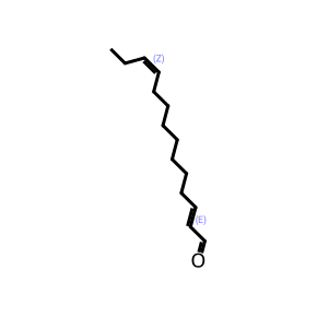 CC/C=C\CCCCCCC/C=C/C=O